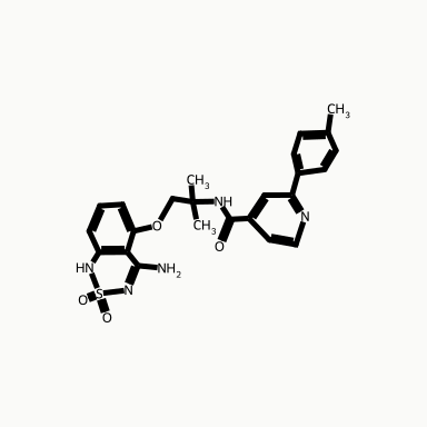 Cc1ccc(-c2cc(C(=O)NC(C)(C)COc3cccc4c3C(N)=NS(=O)(=O)N4)ccn2)cc1